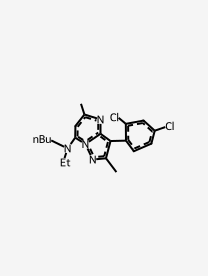 CCCCN(CC)c1cc(C)nc2c(-c3ccc(Cl)cc3Cl)c(C)nn12